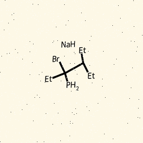 CCC(CC)C(P)(Br)CC.[NaH]